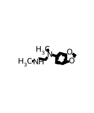 CNCCN(C)c1ccc2c(c1)OCO2